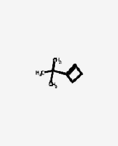 CC(C)(C)C1=CCC1